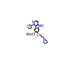 COc1cc2c(cc1OCCCN1CCCC1)[nH]c1ccnc(C3CCOC3)c12